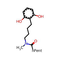 CCCCCC(=O)N(C)CCCCc1c(O)cccc1O